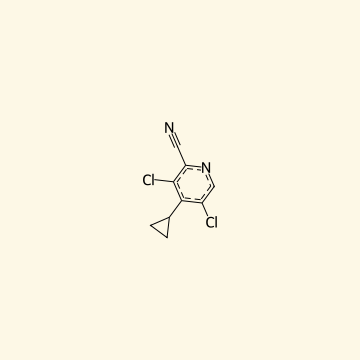 N#Cc1ncc(Cl)c(C2CC2)c1Cl